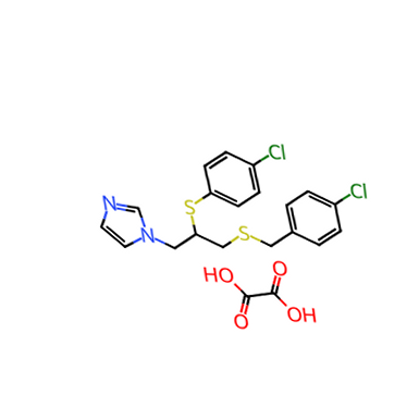 Clc1ccc(CSCC(Cn2ccnc2)Sc2ccc(Cl)cc2)cc1.O=C(O)C(=O)O